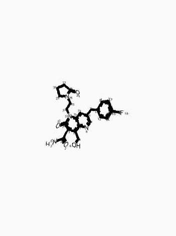 NC(=O)c1c(CO)c2ncc(Cc3ccc(F)cc3)cc2n(CCN2CCCC2=O)c1=O